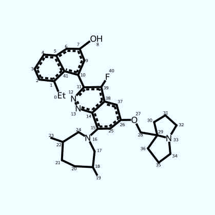 CCc1cccc2cc(O)cc(-c3nnc4c(N5CC(C)CCC(C)C5)cc(OCC56CCCN5CCC6)cc4c3F)c12